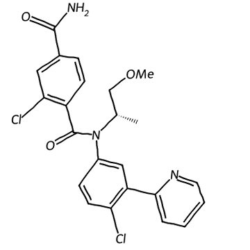 COC[C@H](C)N(C(=O)c1ccc(C(N)=O)cc1Cl)c1ccc(Cl)c(-c2ccccn2)c1